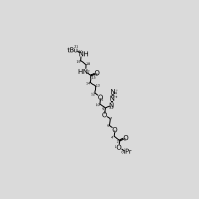 CC(C)OC(=O)COCCOC(COCCCC(=O)NCCNC(C)(C)C)N=[N+]=[N-]